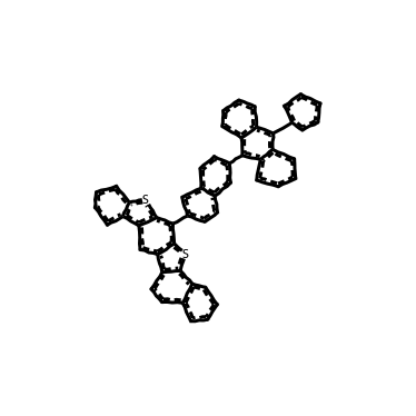 c1ccc(-c2c3ccccc3c(-c3ccc4cc(-c5c6sc7ccccc7c6cc6c5sc5c7ccccc7ccc65)ccc4c3)c3ccccc23)cc1